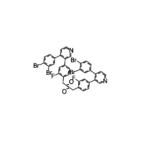 O=S(=O)(Cc1ccc(-c2cnccc2-c2ccc(Br)c(Br)c2)cc1F)Cc1ccc(-c2cnccc2-c2ccc(Br)c(Br)c2)cc1F